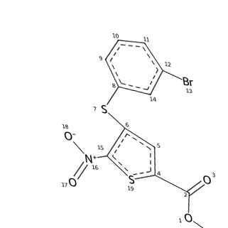 COC(=O)c1cc(Sc2cccc(Br)c2)c([N+](=O)[O-])s1